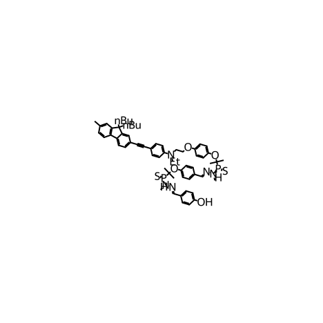 CCCCC1(CCCC)c2cc(C)ccc2-c2ccc(C#Cc3ccc(N(CC)CCOc4ccc(OC(C)(C)[PH](=S)N(C)N=Cc5ccc(OC(C)(C)[PH](=S)N(C)N=Cc6ccc(O)cc6)cc5)cc4)cc3)cc21